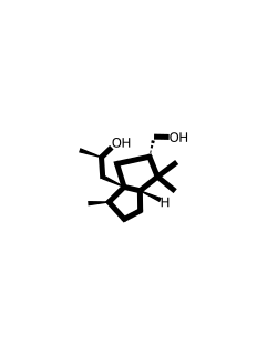 C[C@@H]1CC[C@H]2C(C)(C)[C@@H](CO)C[C@@]12C[C@@H](C)O